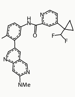 CNc1cc2ncc(-c3cc(NC(=O)c4cc(C5(C(F)F)CC5)ccn4)ccc3C)cc2cn1